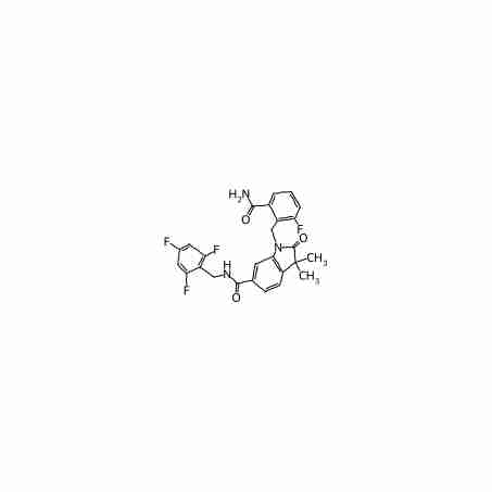 CC1(C)C(=O)N(Cc2c(F)cccc2C(N)=O)c2cc(C(=O)NCc3c(F)cc(F)cc3F)ccc21